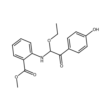 CCOC(Nc1ccccc1C(=O)OC)C(=O)c1ccc(O)cc1